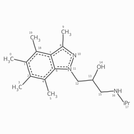 Cc1c(C)c(C)c2c(c(C)nn2CC(O)CNC(C)C)c1C